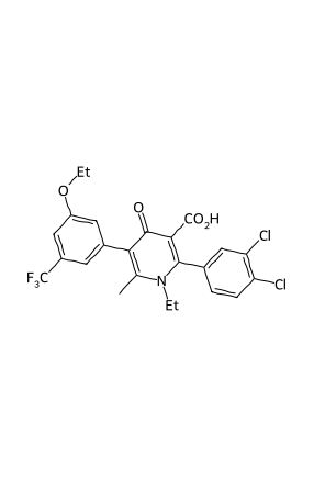 CCOc1cc(-c2c(C)n(CC)c(-c3ccc(Cl)c(Cl)c3)c(C(=O)O)c2=O)cc(C(F)(F)F)c1